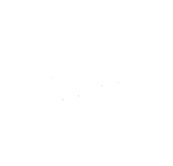 O=C(Nc1ncc(Cl)s1)C(CC1CCCC1)n1cnc2ccc(F)cc2c1=O